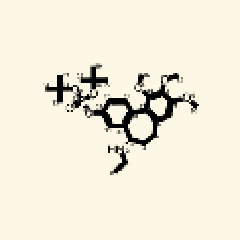 CCN[C@H]1CCc2cc(OC)c(OC)c(OC)c2-c2ccc(OP(=O)(OC(C)(C)C)OC(C)(C)C)cc21